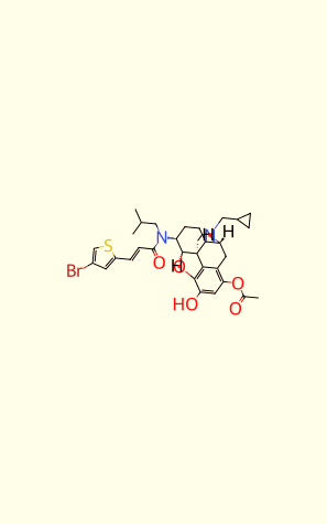 CC(=O)Oc1cc(O)c2c3c1C[C@@H]1[C@@H]4CC[C@H](N(CC(C)C)C(=O)/C=C/c5cc(Br)cs5)[C@H](O2)[C@]34CCN1CC1CC1